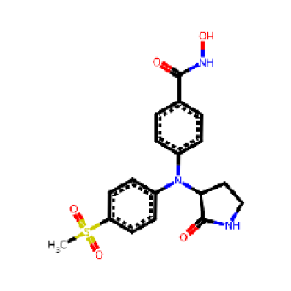 CS(=O)(=O)c1ccc(N(c2ccc(C(=O)NO)cc2)C2CCNC2=O)cc1